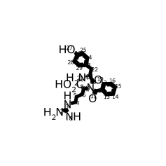 N=C(N)NCCC[C@@H](C(=O)O)N(C(=O)c1ccccc1)C(=O)[C@@H](N)Cc1ccc(O)cc1